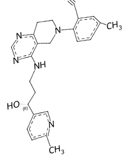 Cc1ccc(N2CCc3ncnc(NCC[C@@H](O)c4ccc(C)nc4)c3C2)c(C#N)c1